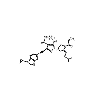 C=CC(=O)N1C[C@@H](n2nc(C#Cc3ccc4c(c3)ncn4C3CC3)c(C(N)=O)c2NC)C/C1=C\OC(F)F